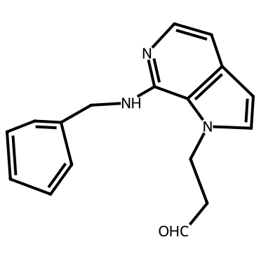 O=CCCn1ccc2ccnc(NCc3ccccc3)c21